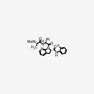 CN[C@@H](C)C(=O)N[C@H](C(=O)N1c2ncccc2C[C@H]1C(=O)Nc1ccccc1F)C(C)C